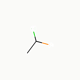 CC([P])Cl